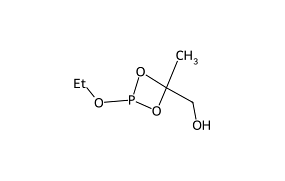 CCOP1OC(C)(CO)O1